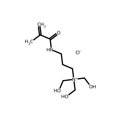 C=C(C)C(=O)NCCC[N+](CO)(CO)CO.[Cl-]